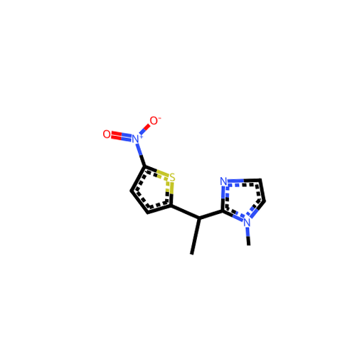 C[C](c1ccc([N+](=O)[O-])s1)c1nccn1C